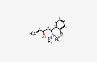 C=CC(=O)CC(c1ccccc1CC)N(C)C